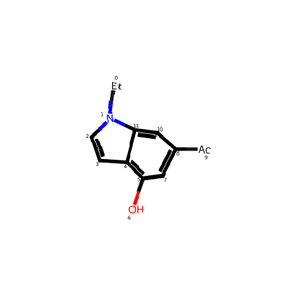 CCn1ccc2c(O)cc(C(C)=O)cc21